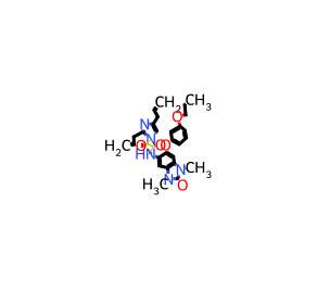 C=CCc1cn(S(=O)(=O)Nc2cc3c(cc2Oc2cccc(OCCC)c2)n(C)c(=O)n3C)c(CC=C)n1